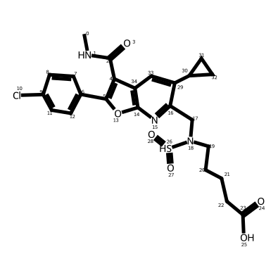 CNC(=O)c1c(-c2ccc(Cl)cc2)oc2nc(CN(CCCCC(=O)O)[SH](=O)=O)c(C3CC3)cc12